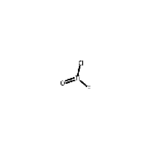 [O]=[Ti]([F])[Cl]